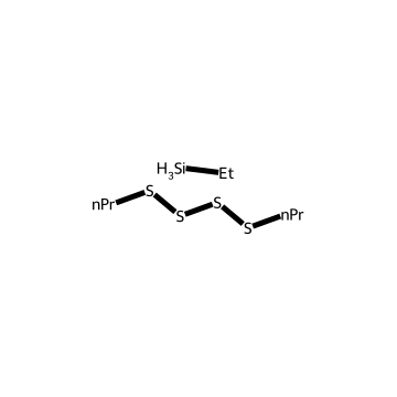 CCCSSSSCCC.CC[SiH3]